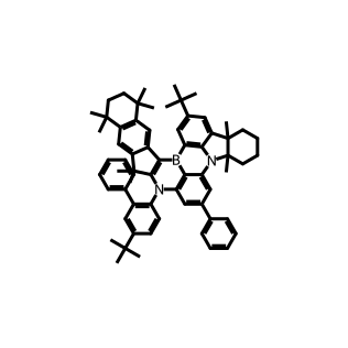 CC(C)(C)c1ccc(N2C3=C(B4c5cc(C(C)(C)C)cc6c5N(c5cc(-c7ccccc7)cc2c54)C2(C)CCCCC62C)c2cc4c(cc2C3(C)C)C(C)(C)CCC4(C)C)c(-c2ccccc2)c1